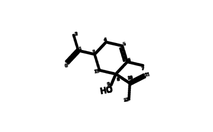 C=C(C)C1CC=C(C)C(O)(C(=C)C)C1